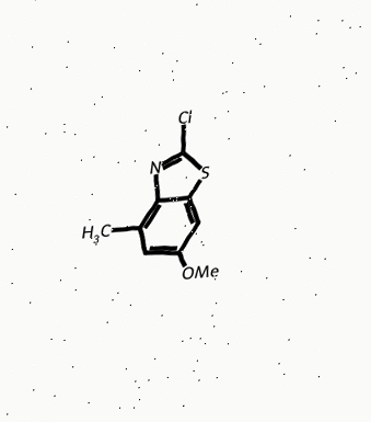 COc1cc(C)c2nc(Cl)sc2c1